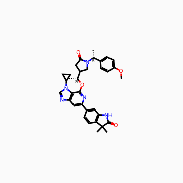 COc1ccc([C@@H](C)N2CC([C@@H](C)Oc3nc(-c4ccc5c(c4)NC(=O)C5(C)C)cc4ncn(C5CC5)c34)CC2=O)cc1